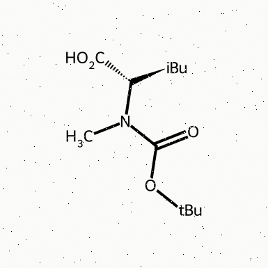 CC[C@H](C)[C@@H](C(=O)O)N(C)C(=O)OC(C)(C)C